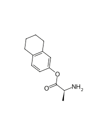 C[C@H](N)C(=O)Oc1ccc2c(c1)CCCC2